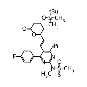 CC(C)c1nc(N(C)S(C)(=O)=S)nc(-c2ccc(F)cc2)c1/C=C/[C@@H]1C[C@@H](O[Si](C)(C)C(C)(C)C)CC(=O)O1